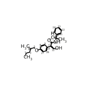 CCC[C@H](C)COc1ccc(C(=CO)C(=O)NC(C)(C)c2ccccc2)cc1